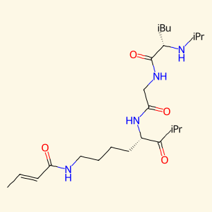 C/C=C/C(=O)NCCCC[C@H](NC(=O)CNC(=O)[C@@H](NC(C)C)C(C)CC)C(=O)C(C)C